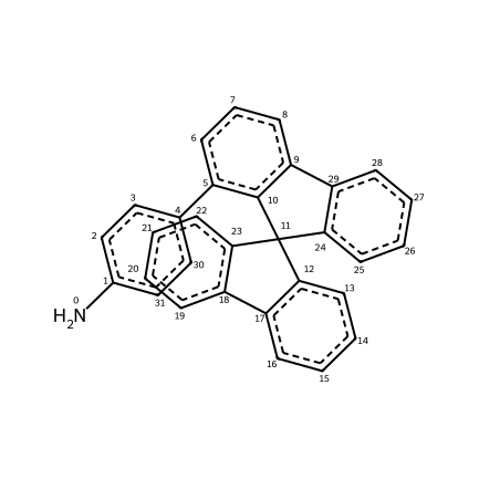 Nc1ccc(-c2cccc3c2C2(c4ccccc4-c4ccccc42)c2ccccc2-3)cc1